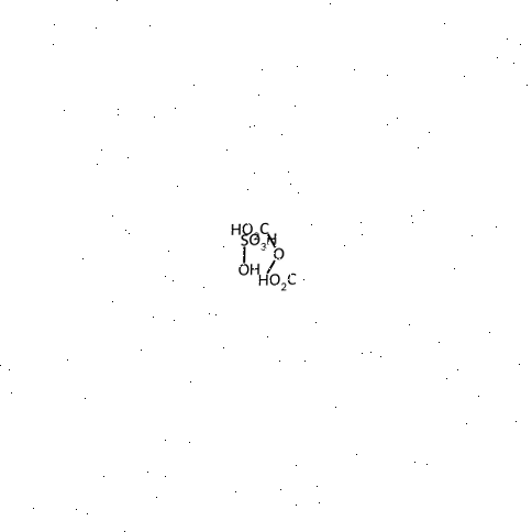 O=C(O)OC(=O)O.O=S(=O)(O)O